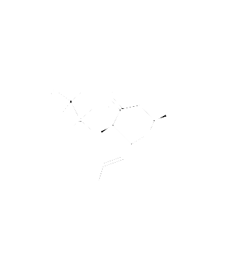 C=C1C[C@@H](C)O[C@H](/C=C/I)[C@H]1O[Si](C)(C)C(C)(C)C